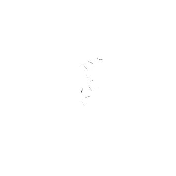 CCCCNc1ccc(C(=O)Nc2ncc(N=O)s2)c(C(C)C)c1